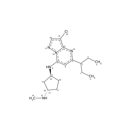 CCC(CC)c1cc(N[C@H]2CC[C@H](NC)C2)n2ncc(Cl)c2n1